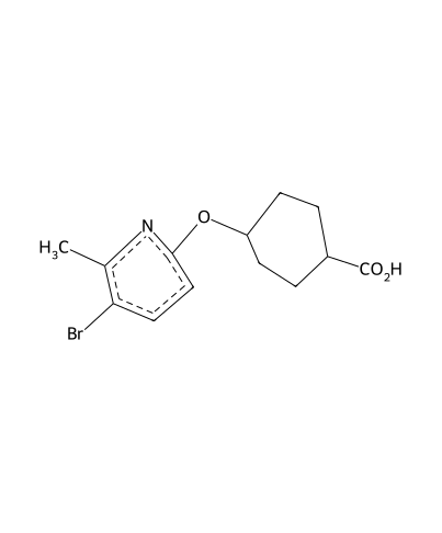 Cc1nc(OC2CCC(C(=O)O)CC2)ccc1Br